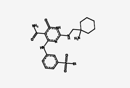 CCS(=O)(=O)c1cccc(Nc2nc(NCC3(N)CCCCC3)[nH]c(=O)c2C(N)=O)c1